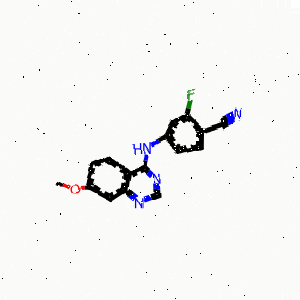 COc1[c]cc2c(Nc3ccc(C#N)c(F)c3)ncnc2c1